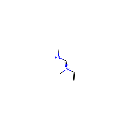 C=C/[N+](C)=C/NC